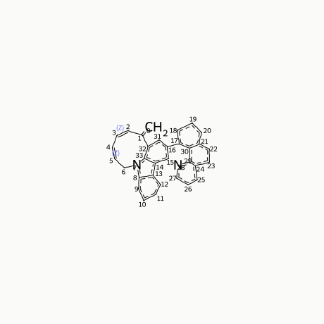 C=C1/C=C\C=C/Cn2c3ccccc3c3cc(-c4cccc5ccc6cccnc6c45)cc1c32